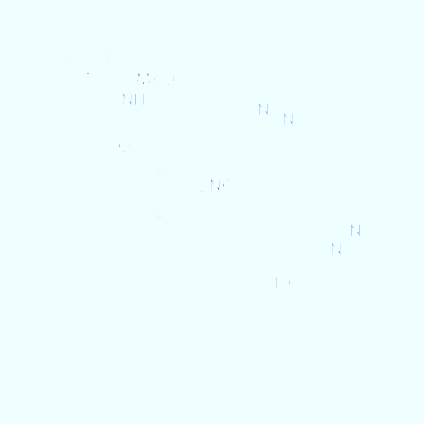 COc1cc(-c2c3c(C#N)cc(-c4cnn(C[C@@H](O)c5ccccc5)c4)cc3nn2C)cc(OC(F)F)c1C(=O)NCC1(F)CC1